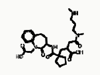 CNCCCN(C)C(=O)CC(CC1(C(=O)NC2CCc3ccccc3N(CC(=O)O)C2=O)CCCC1)C(=O)O